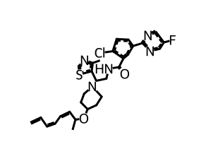 C=C/C=C\C=C/C(C)OC1CCN(C(CNC(=O)c2cc(-c3ncc(F)cn3)ccc2Cl)c2scnc2C)CC1